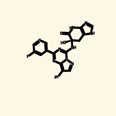 CC(C)c1cnn2c(N[C@@]3(O)Cc4[nH]cnc4NC3=O)nc(-c3cncc(F)c3)nc12